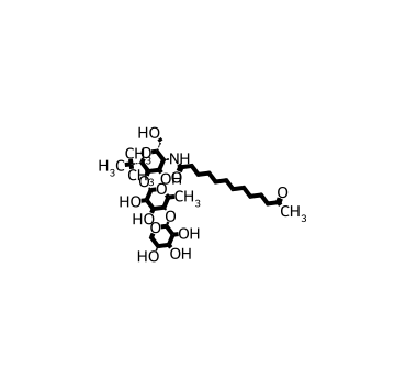 CC(=O)CCCCCCCCCCC(=O)N[C@@H]1C(O)C(O[C@@H]2OC(C)[C@H](O[C@@H]3OC[C@@H](O)C(O)C3O)C(O)C2O)[C@H](C(C)(C)C)O[C@@H]1CO